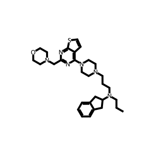 CCCN(CCCN1CCN(c2nc(CN3CCOCC3)nc3sccc23)CC1)C1Cc2ccccc2C1